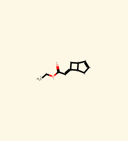 CCOC(=O)C=C1CC2C=CCC12